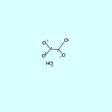 Cl.ClC(Cl)C(Cl)Cl